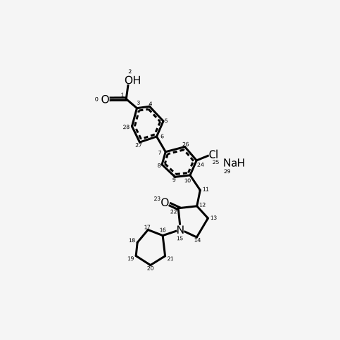 O=C(O)c1ccc(-c2ccc(CC3CCN(C4CCCCC4)C3=O)c(Cl)c2)cc1.[NaH]